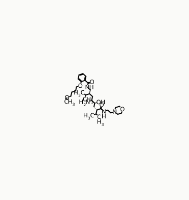 COCCCCOc1ccccc1C(=O)NC[C@@H](C[C@H](N)[C@@H](O)C[C@H](C(=O)NCCN1CCOCC1)C(C)C)C(C)C